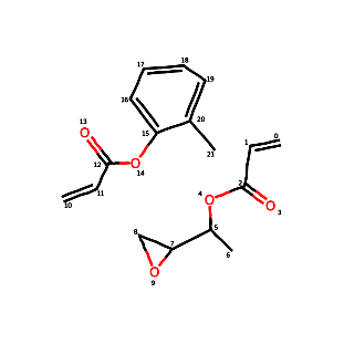 C=CC(=O)OC(C)C1CO1.C=CC(=O)Oc1ccccc1C